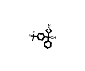 OC(c1ccccc1)(c1ccc(C(F)(F)F)cc1)C1CNC1